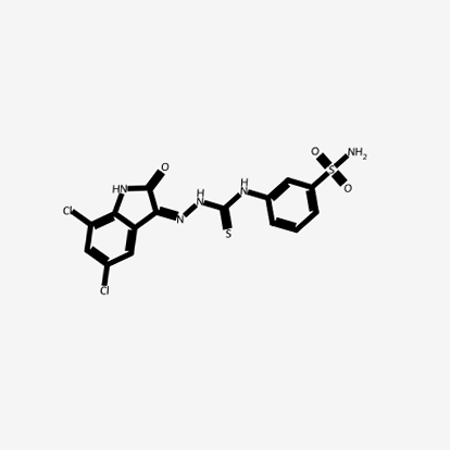 NS(=O)(=O)c1cccc(NC(=S)NN=C2C(=O)Nc3c(Cl)cc(Cl)cc32)c1